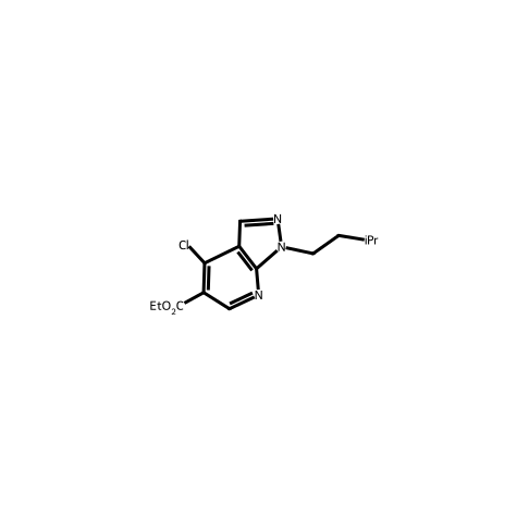 CCOC(=O)c1cnc2c(cnn2CCC(C)C)c1Cl